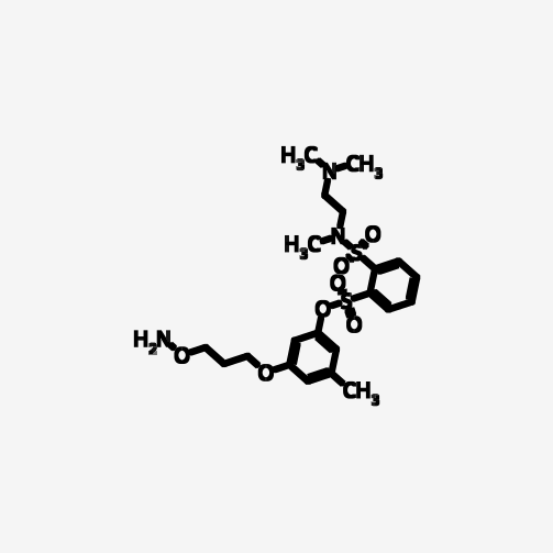 Cc1cc(OCCCON)cc(OS(=O)(=O)c2ccccc2S(=O)(=O)N(C)CCN(C)C)c1